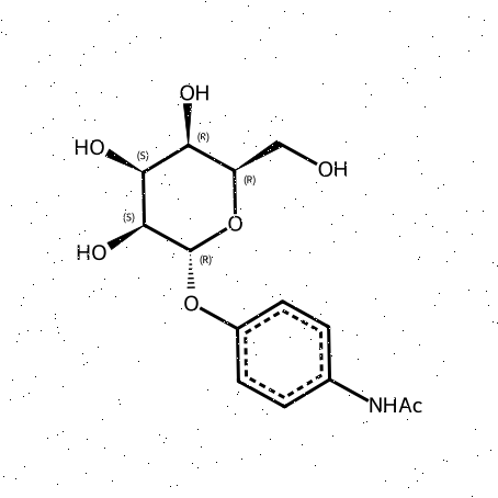 CC(=O)Nc1ccc(O[C@H]2O[C@H](CO)[C@H](O)[C@H](O)[C@@H]2O)cc1